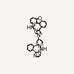 c1ccc2c(c1)-c1nccn1N[n+]1ccc(-[n+]3cc4c5cccc6oc7ccc[n+]([nH]n4c3)c7c65)cc1-2